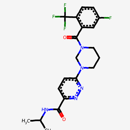 CC(C)NC(=O)c1ccc(N2CCCN(C(=O)c3cc(F)ccc3C(F)(F)F)C2)nn1